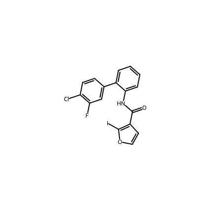 O=C(Nc1ccccc1-c1ccc(Cl)c(F)c1)c1ccoc1I